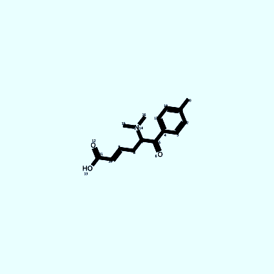 Cc1ccc(C(=O)C(CC=CC(=O)O)N(C)C)cc1